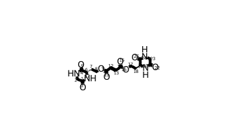 O=C1CNC(=O)[C@H](CCOC(=O)/C=C/C(=O)OCC[C@@H]2NC(=O)CNC2=O)N1